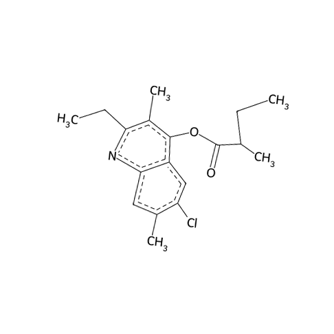 CCc1nc2cc(C)c(Cl)cc2c(OC(=O)C(C)CC)c1C